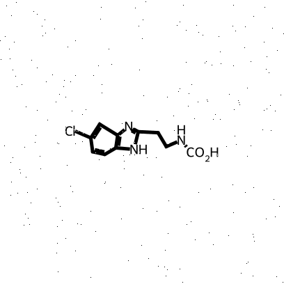 O=C(O)NCCc1nc2cc(Cl)ccc2[nH]1